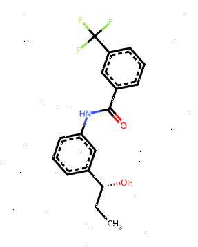 CC[C@@H](O)c1cccc(NC(=O)c2cccc(C(F)(F)F)c2)c1